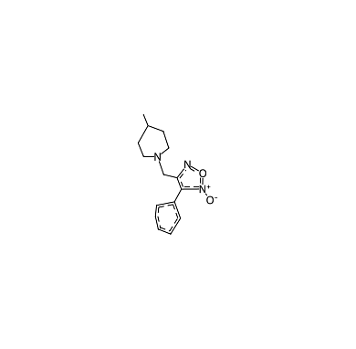 CC1CCN(Cc2no[n+]([O-])c2-c2ccccc2)CC1